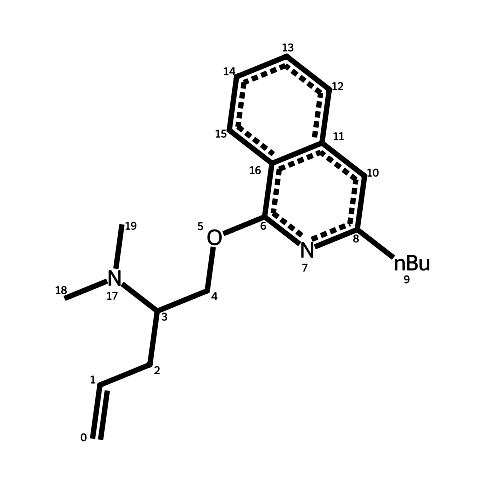 C=CCC(COc1nc(CCCC)cc2ccccc12)N(C)C